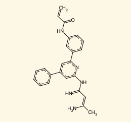 C=CC(=O)Nc1cccc(-c2cc(-c3ccccc3)cc(NC(=N)/C=C(/C)N)n2)c1